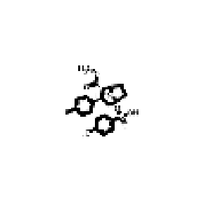 COC(=O)[C@@H]1C2CCC(C[C@H]1c1ccc(I)cc1)N2C.Cc1ccc(S(=O)(=O)O)cc1